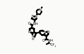 C[C@@H](NC(=O)c1cnn2ccc(-c3c[nH]c4ncc(C(=O)Nc5cnn(C6CCN(C)CC6)c5)cc34)cc12)C(F)(F)F